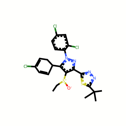 CC[S+]([O-])c1c(-c2nnc(C(C)(C)C)s2)nn(-c2ccc(Cl)cc2Cl)c1C1C=CC(Cl)=CC1